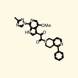 COc1cnc(-n2cnc(C)n2)c2[nH]cc(C(=O)C(=O)N3CCc4c(ccnc4-c4ccccc4)C3)c12